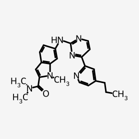 CCCc1ccnc(-c2ccnc(Nc3ccc4cc(C(=O)N(C)C)n(C)c4c3)n2)c1